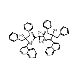 CC(C)(C(=O)N[C@H](c1cccc2ccccc12)C(O)(Cc1ccccc1)Cc1ccccc1)C(=O)N[C@H](c1cccc2ccccc12)C(O)(Cc1ccccc1)Cc1ccccc1